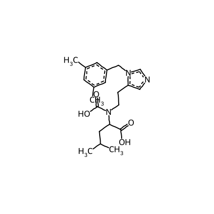 Cc1cc(C)cc(Cn2cncc2CCN(C(=O)O)C(CC(C)C)C(=O)O)c1